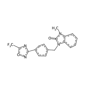 Cn1c(=O)n(Cc2ccc(-c3noc(C(F)(F)F)n3)cc2)c2ccccc21